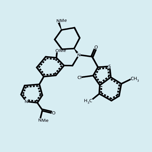 CNC(=O)c1cc(-c2ccc(OC)c(CN(C(=O)c3sc4c(C)ccc(C)c4c3Cl)[C@H]3CC[C@@H](NC)CC3)c2)ccn1